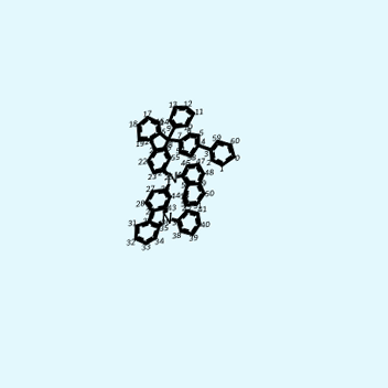 c1ccc(-c2ccc(C3(c4ccccc4)c4ccccc4-c4ccc(N(c5ccc6c7ccccc7n(-c7ccccc7)c6c5)c5cccc6ccccc56)cc43)cc2)cc1